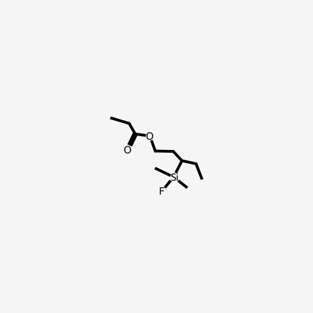 CCC(=O)OCCC(CC)[Si](C)(C)F